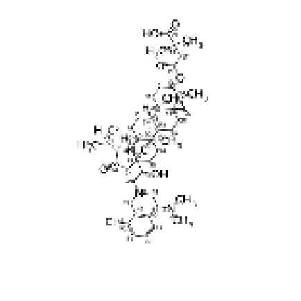 CC(C)C1=C2[C@H]3CC[C@@H]4[C@@]5(C)CC[C@H](OC(=O)CC(C)(C)C(=O)O)C6(C)C[C@]65CC[C@@]4(C)[C@]3(C)CCC2(C(O)CN(CCN(C)C)Cc2ccccc2Cl)CC1=O